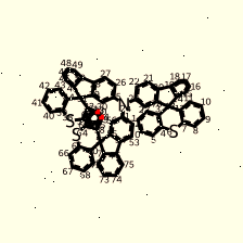 c1ccc2c(c1)Sc1ccccc1C21c2ccccc2-c2ccc(N(c3ccc4c(c3)C3(c5ccccc5Sc5ccccc53)c3ccccc3-4)c3ccc4c(c3)C3(c5ccccc5Sc5ccccc53)c3ccccc3-4)cc21